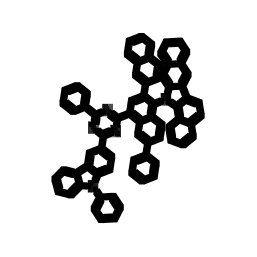 c1ccc(-c2ccc3c(-n4c5cc6ccccc6cc5c5ccc6ccccc6c54)c(-c4ccc5ccccc5c4)cc(-c4nc(-c5ccccc5)nc(-c5ccc6c(c5)c5ccccc5n6-c5ccccc5)n4)c3c2)cc1